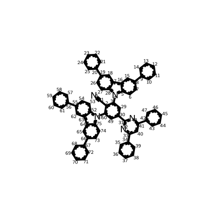 N#Cc1c(-n2c3ccc(-c4ccccc4)cc3c3cc(-c4ccccc4)ccc32)cc(-c2nc(-c3ccccc3)cc(-c3ccccc3)n2)cc1-n1c2ccc(-c3ccccc3)cc2c2cc(-c3ccccc3)ccc21